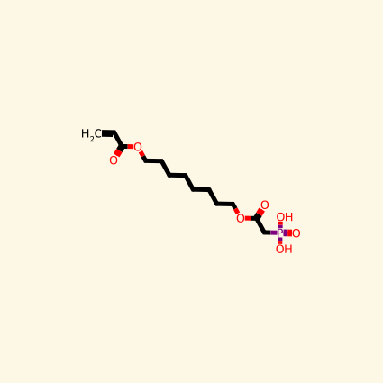 C=CC(=O)OCCCCCCCCOC(=O)CP(=O)(O)O